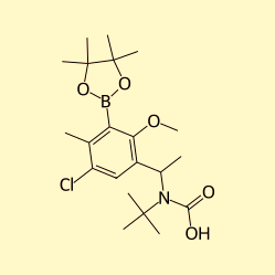 COc1c(C(C)N(C(=O)O)C(C)(C)C)cc(Cl)c(C)c1B1OC(C)(C)C(C)(C)O1